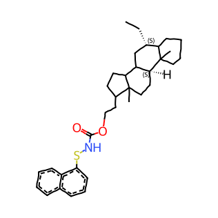 CC[C@H]1CC2C3CCC(CCOC(=O)NSc4cccc5ccccc45)C3(C)CC[C@@H]2C2(C)CCCCC12